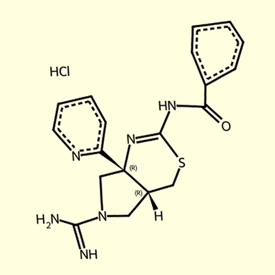 Cl.N=C(N)N1C[C@H]2CSC(NC(=O)c3ccccc3)=N[C@@]2(c2ccccn2)C1